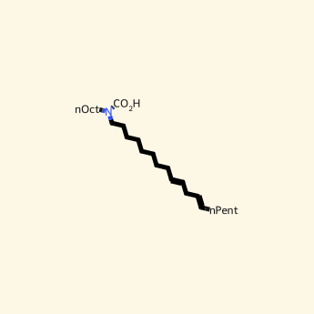 CCCCCC=CCC=CCCCCCCCCN(CCCCCCCC)C(=O)O